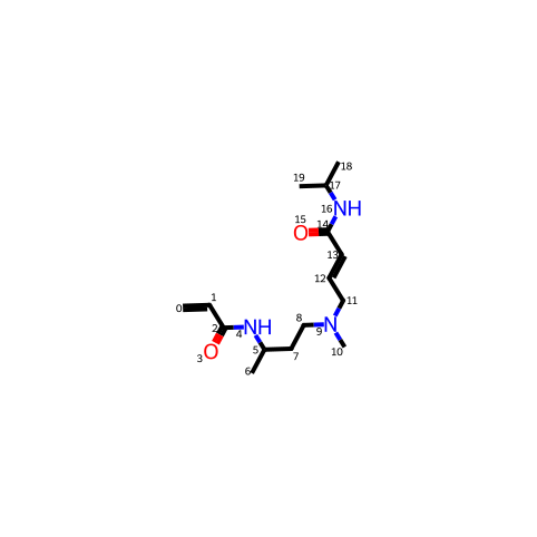 C=CC(=O)NC(C)CCN(C)C/C=C/C(=O)NC(C)C